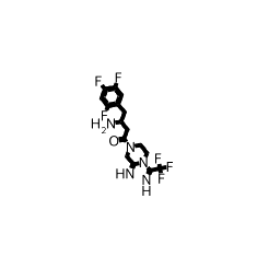 N=C1CN(C(=O)CC(N)Cc2cc(F)c(F)cc2F)CCN1C(=N)C(F)(F)F